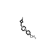 CN1CCC(N2CCN(CC3CC(I)C3)CC2)CC1